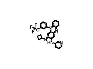 FC(F)(F)Oc1cccc(-n2c3c/c(=N\C4CCC4)c(Nc4cccnc4)cc-3nc3ccccc32)c1